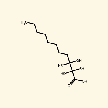 CCCCCCCCC(S)(S)C(S)(S)C(=O)O